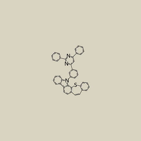 C1=Cc2ccc3c4ccccc4n(-c4cccc(-c5cc(-c6ccccc6)nc(-c6ccccc6)n5)c4)c3c2Sc2ccccc21